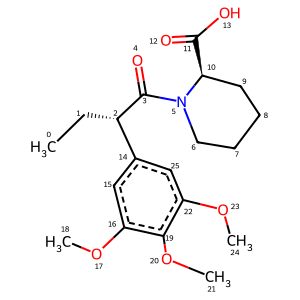 CC[C@H](C(=O)N1CCCC[C@@H]1C(=O)O)c1cc(OC)c(OC)c(OC)c1